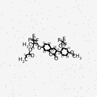 C=CC(=O)OCC(C)(COc1ccc2cc(-c3ccc(OC)cc3OC(F)(F)F)c(=O)oc2c1)C(F)(F)F